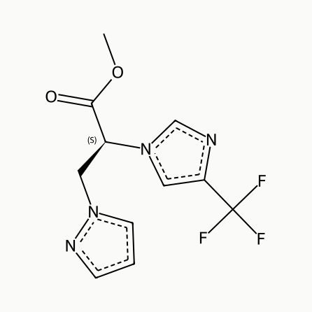 COC(=O)[C@H](Cn1cccn1)n1cnc(C(F)(F)F)c1